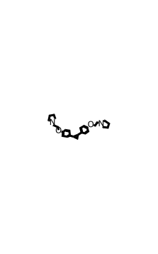 c1cc(C2CC2c2ccc(OCCN3CCCC3)cc2)ccc1OCCN1CCCC1